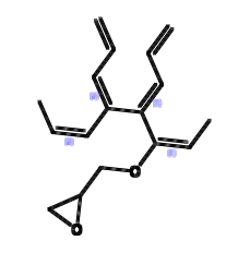 C=C/C=C(/C=C\C)C(=C/C=C)\C(=C/C)OCC1CO1